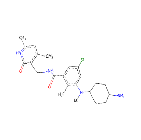 CCN(c1cc(Cl)cc(C(=O)NCc2c(C)cc(C)[nH]c2=O)c1C)C1CCC(N)CC1